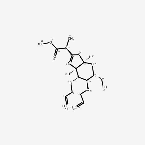 C=CCO[C@@H]1[C@H]2N=C(N(C)C(=O)OC(C)(C)C)S[C@H]2O[C@H](CO)[C@H]1OCC=C